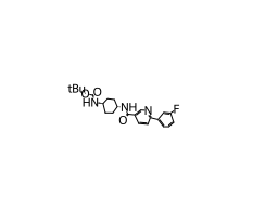 CC(C)(C)OC(=O)N[C@H]1CC[C@H](NC(=O)c2ccc(-c3cccc(F)c3)nc2)CC1